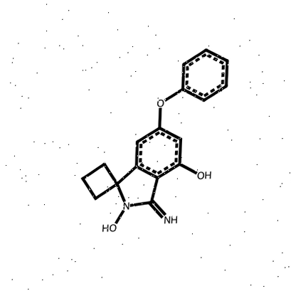 N=C1c2c(O)cc(Oc3ccccc3)cc2C2(CCC2)N1O